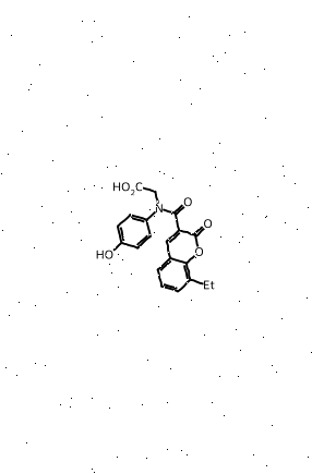 CCc1cccc2cc(C(=O)N(CC(=O)O)c3ccc(O)cc3)c(=O)oc12